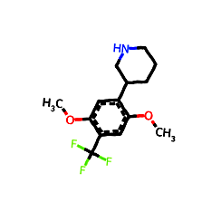 COc1cc(C(F)(F)F)c(OC)cc1C1CCCNC1